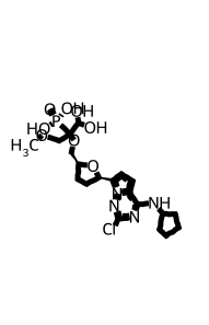 COCC(OC[C@@H]1CC[C@H](c2ccc3c(NC4CCCC4)nc(Cl)nn23)O1)(C(O)O)P(=O)(O)O